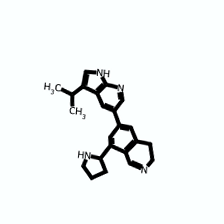 CC(C)c1c[nH]c2ncc(-c3cc4c(c(C5CCCN5)c3)C=NCC4)cc12